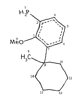 COc1c(P)cccc1C1(C)CCCCC1